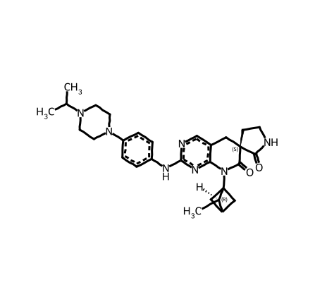 CC(C)N1CCN(c2ccc(Nc3ncc4c(n3)N(C35CC(C3)[C@H]5C)C(=O)[C@]3(CCNC3=O)C4)cc2)CC1